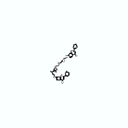 CC(CCOc1ccc2c(=O)cc(-c3ccccc3)oc2c1)c1cn(CCOCCOCCOc2ccc3c(=O)cc(-c4ccccc4)oc3c2)nn1